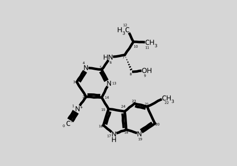 [C-]#[N+]c1cnc(N[C@@H](CO)C(C)C)nc1-c1c[nH]c2ncc(C)cc12